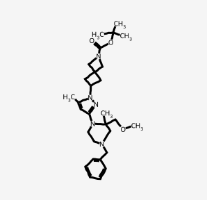 COCC1(C)CN(Cc2ccccc2)CCN1c1cc(C)n(C2CC3(C2)CN(C(=O)OC(C)(C)C)C3)n1